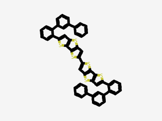 c1ccc(-c2cccc(-c3ccccc3-c3cc4sc5cc(-c6cc7sc8cc(-c9ccccc9-c9cccc(-c%10ccccc%10)c9)sc8c7s6)sc5c4s3)c2)cc1